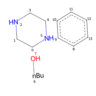 C1CNCCN1.CCCCO.c1ccccc1